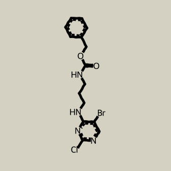 O=C(NCCCNc1nc(Cl)ncc1Br)OCc1ccccc1